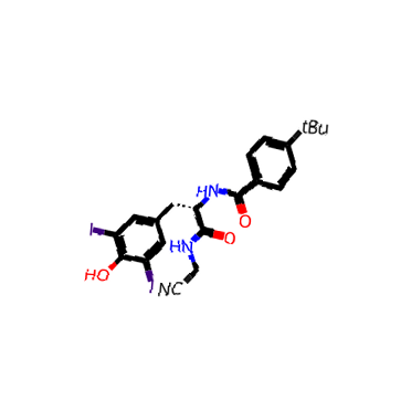 CC(C)(C)c1ccc(C(=O)N[C@@H](Cc2cc(I)c(O)c(I)c2)C(=O)NCC#N)cc1